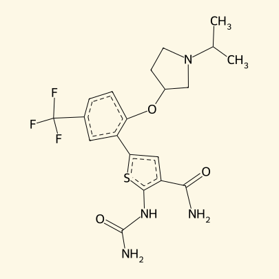 CC(C)N1CCC(Oc2ccc(C(F)(F)F)cc2-c2cc(C(N)=O)c(NC(N)=O)s2)C1